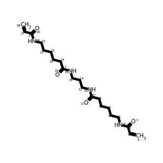 C=CC(=O)NCCCCCC(=O)NCCCNC(=O)CCCCCNC(=O)C=C